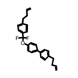 C=CCCc1ccc(-c2ccc(OC(F)(F)c3ccc(CCC=C)cc3)cc2)cc1